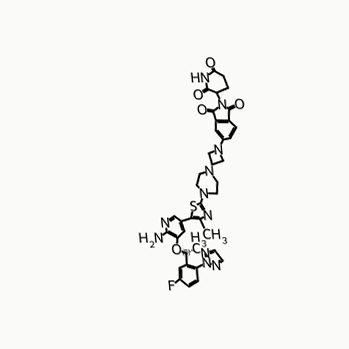 Cc1nc(N2CCN(C3CN(c4ccc5c(c4)C(=O)N(C4CCC(=O)NC4=O)C5=O)C3)CC2)sc1-c1cnc(N)c(O[C@H](C)c2cc(F)ccc2-n2nccn2)c1